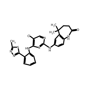 Cc1nnc(-c2ccccc2Nc2nc(Nc3ccc4c(c3)C(C)(C)CCC(=O)N4)ncc2Cl)s1